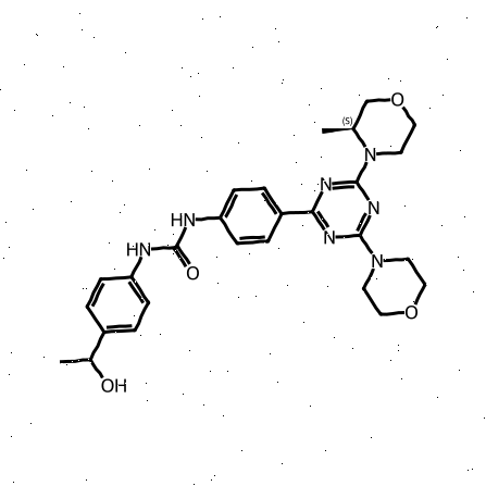 CC(O)c1ccc(NC(=O)Nc2ccc(-c3nc(N4CCOCC4)nc(N4CCOC[C@@H]4C)n3)cc2)cc1